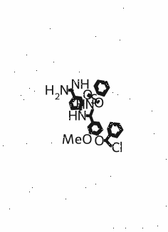 COc1cc(C(CNS(=O)(=O)c2ccccc2)Nc2ccc(C(=N)N)cc2)ccc1OC(CCl)c1ccccc1